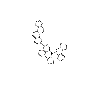 c1ccc(-c2ccccc2N(c2ccc(-c3ccc4ccc5c6ccccc6ccc5c4c3)cc2)c2cc3ccccc3c3ccccc23)cc1